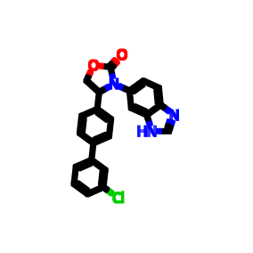 O=C1OCC(c2ccc(-c3cccc(Cl)c3)cc2)N1c1ccc2nc[nH]c2c1